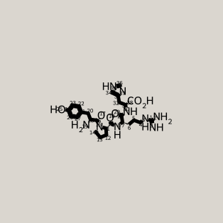 N=C(N)NCCC[C@H](NC(=O)[C@@H]1CCCN1C(=O)[C@@H](N)Cc1ccc(O)cc1)C(=O)N[C@@H](Cc1c[nH]cn1)C(=O)O